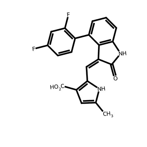 Cc1cc(C(=O)O)c(/C=C2\C(=O)Nc3cccc(-c4ccc(F)cc4F)c32)[nH]1